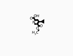 CCOC(=O)c1cnc(C(=O)O)cc1C1CC1